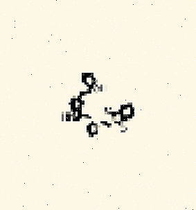 O=C1c2ccccc2C(=O)N1CCN1CCC[C@@H]1Cc1c[nH]c2ccc(CCC3(O)CCCC3)cc12